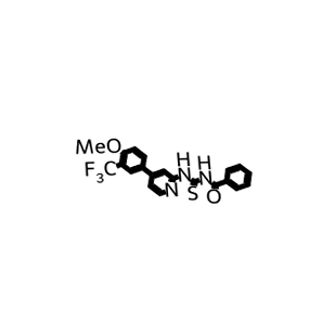 COc1ccc(-c2ccnc(NC(=S)NC(=O)c3ccccc3)c2)cc1C(F)(F)F